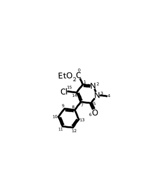 CCOC(=O)c1nn(C)c(=O)c(-c2ccccc2)c1Cl